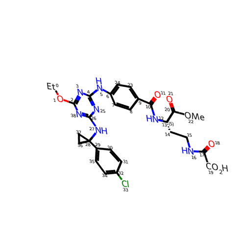 CCOc1nc(Nc2ccc(C(=O)N[C@@H](CCNC(=O)C(=O)O)C(=O)OC)cc2)nc(NC2(c3ccc(Cl)cc3)CC2)n1